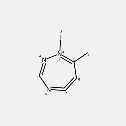 CC1=[N+](I)N=CN=C=C1